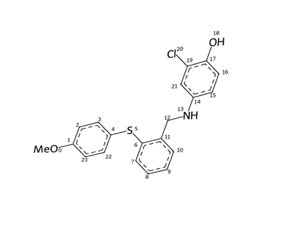 COc1ccc(Sc2ccccc2CNc2ccc(O)c(Cl)c2)cc1